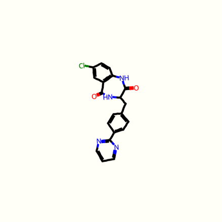 O=C1NC(Cc2ccc(-c3ncccn3)cc2)C(=O)Nc2ccc(Cl)cc21